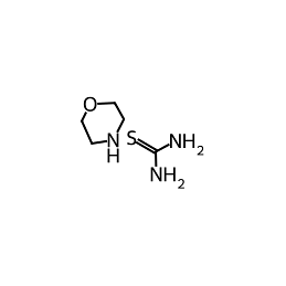 C1COCCN1.NC(N)=S